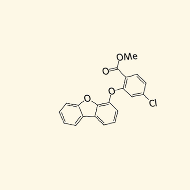 COC(=O)c1ccc(Cl)cc1Oc1cccc2c1oc1ccccc12